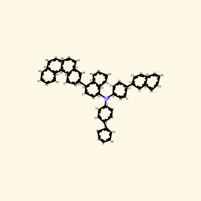 c1ccc(-c2ccc(N(c3ccc(-c4ccc5ccccc5c4)cc3)c3ccc(-c4ccc5c(ccc6ccc7ccccc7c65)c4)c4ccccc34)cc2)cc1